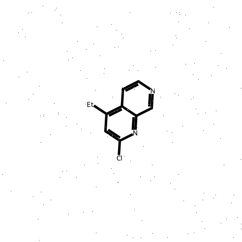 CCc1cc(Cl)nc2cnccc12